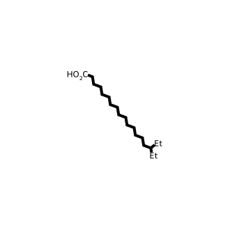 CCC(CC)CCCCCCCCCCCCCCC(=O)O